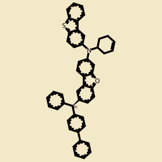 C1=CCC(N(c2ccc3c(c2)oc2ccc([C@H](c4ccccc4)c4ccc(-c5ccccc5)cc4)cc23)c2ccc3sc4ccccc4c3c2)CC1